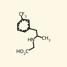 CC(Cc1cccc(C(F)(F)F)c1)NCC(=O)O